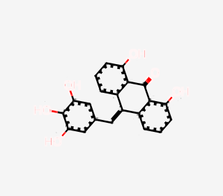 O=C1c2c(O)cccc2C(=Cc2cc(O)c(O)c(O)c2)c2cccc(O)c21